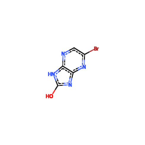 Oc1nc2nc(Br)cnc2[nH]1